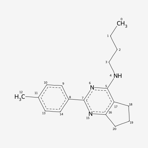 CCCCNc1nc(-c2ccc(C)cc2)nc2c1CCC2